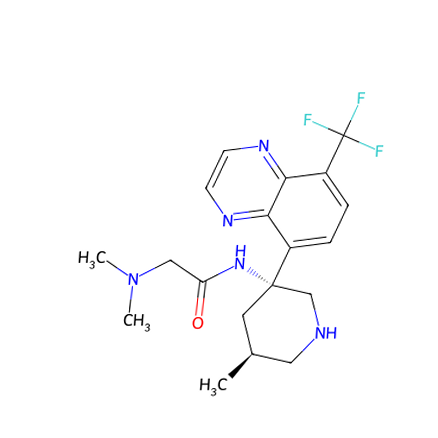 C[C@@H]1CNC[C@](NC(=O)CN(C)C)(c2ccc(C(F)(F)F)c3nccnc23)C1